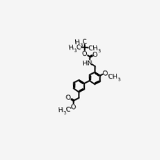 COC(=O)Cc1cccc(-c2ccc(OC)c(CNC(=O)OC(C)(C)C)c2)c1